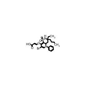 CCCCC1(CC)CC2C(=C(O/C=C/C(=O)O)C(Br)=CN2c2ccccc2)S(=O)(=O)N1